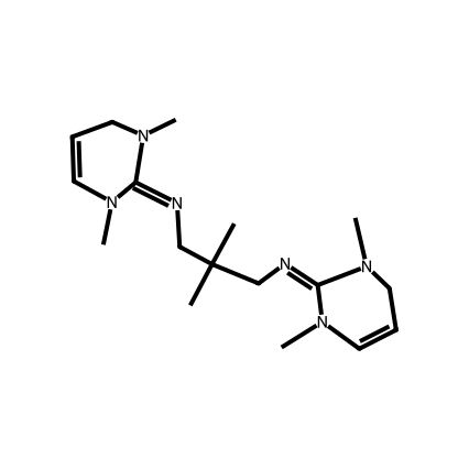 CN1C=CCN(C)C1=NCC(C)(C)CN=C1N(C)C=CCN1C